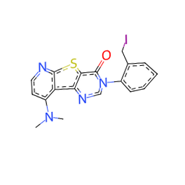 CN(C)c1ccnc2sc3c(=O)n(-c4ccccc4CI)cnc3c12